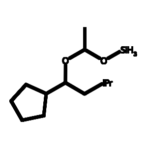 CC(C)CC(OC(C)O[SiH3])C1CCCC1